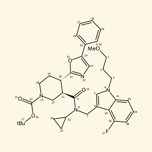 COCCCn1cc(CN(C(=O)[C@H]2CN(C(=O)OC(C)(C)C)CC[C@@H]2c2ncc(-c3ccccc3)o2)C2CC2)c2c(F)cccc21